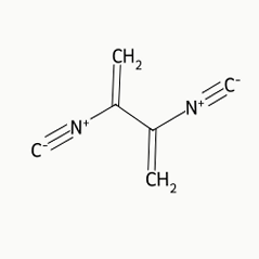 [C-]#[N+]C(=C)C(=C)[N+]#[C-]